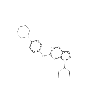 CCC(CC)n1ccc2cnc(Nc3ccc(N4CC[CH]CC4)cc3)nc21